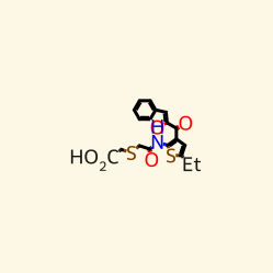 CCc1cc(C(=O)c2cc3ccccc3o2)c(NC(=O)CSCC(=O)O)s1